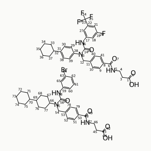 O=C(O)CCNC(=O)c1ccc(CN(C(=O)Nc2cc(F)cc(C(F)(F)F)c2)c2ccc(C3CCCCC3)cc2)cc1.O=C(O)CCNC(=O)c1ccc(CN(C(=O)Nc2cccc(Br)c2)C2CCC(C3CCCCC3)CC2)cc1